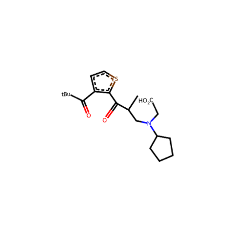 CC(CN(CC(=O)O)C1CCCC1)C(=O)c1sccc1C(=O)C(C)(C)C